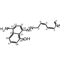 C=[N+](C)/C=C\C=C/C/N=N/c1ccc(N)c2cccc(O)c12